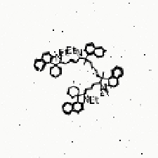 CCN1C(=CC=CC2=[N+](CC)c3ccc4ccccc4c3C2(C)CCCCC2(C)C(C=CC=C3N(CC)c4ccc5ccccc5c4C34CCCCC4)=[N+](CC)c3ccc4ccccc4c32)C2(CCCCC2)c2c1ccc1ccccc21